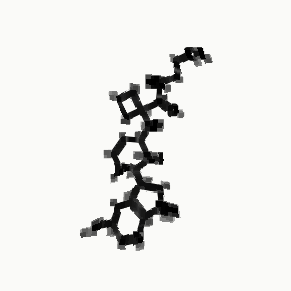 CCCNC(=O)C1(NC2C=CN=C(c3c[nH]c4ncc(F)cc34)N2)CCC1